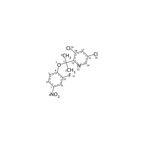 CC(C)(Oc1ccc([N+](=O)[O-])cc1F)c1ncc(Cl)cc1Cl